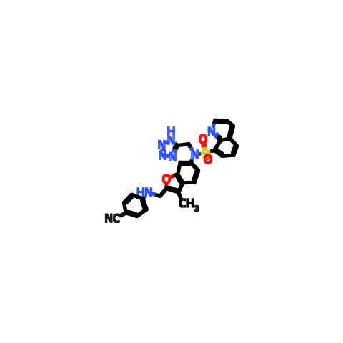 Cc1c(CNc2ccc(C#N)cc2)oc2cc(N(Cc3nnn[nH]3)S(=O)(=O)c3cccc4cccnc34)ccc12